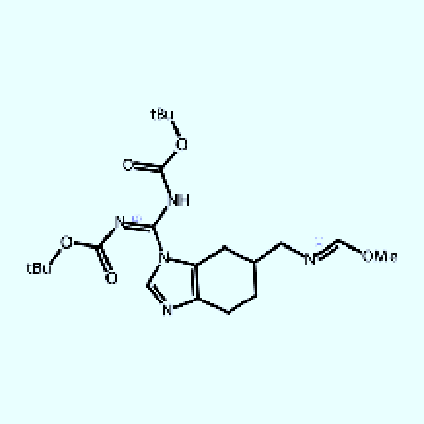 CO/C=N/CC1CCc2ncn(/C(=N\C(=O)OC(C)(C)C)NC(=O)OC(C)(C)C)c2C1